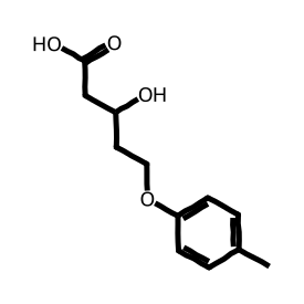 Cc1ccc(OCCC(O)CC(=O)O)cc1